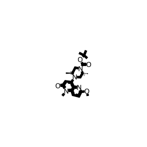 COc1ccc2c(n1)c(N1C[C@@H](C)N(C(=O)OC(C)(C)C)C[C@@H]1C)cc(=O)n2C